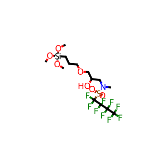 CO[Si](CCCOCC(O)CN(C)S(=O)(=O)C(F)(F)C(F)(F)C(F)(F)C(F)(F)F)(OC)OC